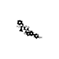 CC(C1CC1)N(Cc1ccccc1)C(=O)CN1C(=O)NC2(CCc3cc(-c4ccc(O)nc4)ccc32)C1=O